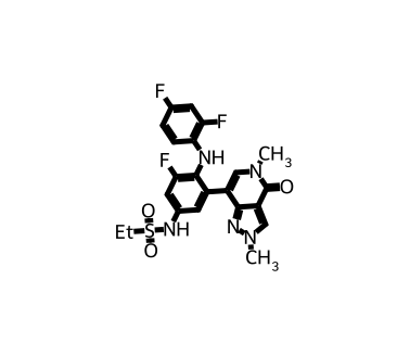 CCS(=O)(=O)Nc1cc(F)c(Nc2ccc(F)cc2F)c(-c2cn(C)c(=O)c3cn(C)nc23)c1